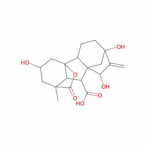 C=C1C(O)C23CC1(O)CCC2C12CC(O)CC(C)(C(=O)O1)C2C3C(=O)O